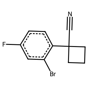 N#CC1(c2ccc(F)cc2Br)CCC1